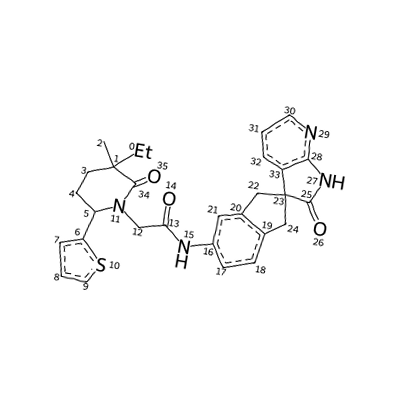 CCC1(C)CCC(c2cccs2)N(CC(=O)Nc2ccc3c(c2)CC2(C3)C(=O)Nc3ncccc32)C1=O